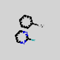 Fc1ncccn1.O=C(O)c1ccccc1